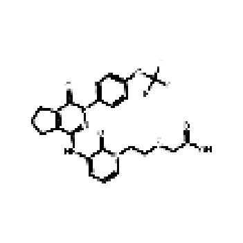 O=C(O)CNCCn1cccc(Nc2nn(-c3ccc(OC(F)(F)F)cc3)c(=O)c3c2CCC3)c1=O